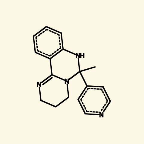 CC1(c2ccncc2)Nc2ccccc2C2=NCCCN21